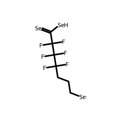 FC(F)(CCC[Se])C(F)(F)C(F)(F)C(=[Se])[SeH]